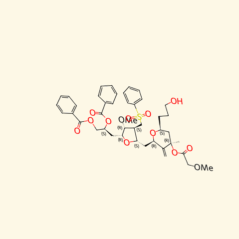 C=C1[C@@H](C[C@@H]2O[C@H](C[C@@H](COC(=O)c3ccccc3)OC(=O)c3ccccc3)[C@H](OC)[C@H]2CS(=O)(=O)c2ccccc2)O[C@@H](CCCO)C[C@@]1(C)OC(=O)COC